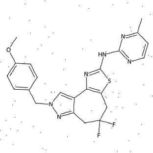 COc1ccc(Cn2cc3c(n2)CC(F)(F)Cc2sc(Nc4nccc(C)n4)nc2-3)cc1